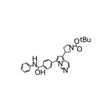 CC(C)(C)OC(=O)N1CCC(c2cc(-c3ccc(C(O)Nc4ccccc4)cc3)n3cnccc23)C1